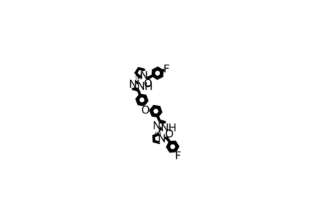 O=C(c1ccc(F)cc1)N1CCC[C@H]1c1nc(-c2cccc(Oc3ccc(-c4cnc([C@@H]5CCCN5C(=O)c5ccc(F)cc5)[nH]4)cc3)c2)c[nH]1